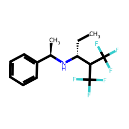 CC[C@@H](N[C@H](C)c1ccccc1)C(C(F)(F)F)C(F)(F)F